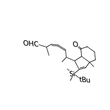 CC(C=O)C=C=CC(C)C1C([Si](C)(C)C(C)(C)C)=CC2(C)CCCC(=O)C12